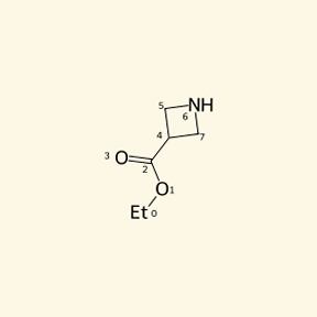 CCOC(=O)C1CNC1